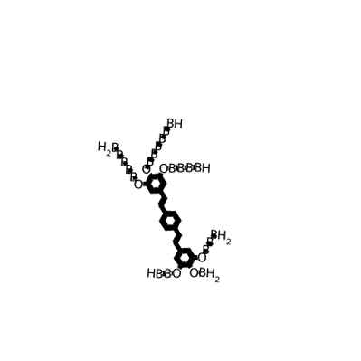 B=BB=BB=BOc1c(OB=BB=B)cc(/C=C/c2ccc(/C=C/c3cc(OB=B)c(OB)c(OB=BB)c3)cc2)cc1OB=BB=BB